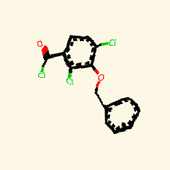 O=C(Cl)c1ccc(Cl)c(OCc2ccccc2)c1Cl